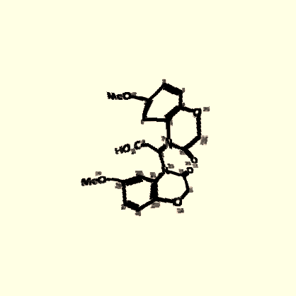 COc1ccc2c(c1)N(C(C(=O)O)N1C(=O)COc3ccc(OC)cc31)C(=O)CO2